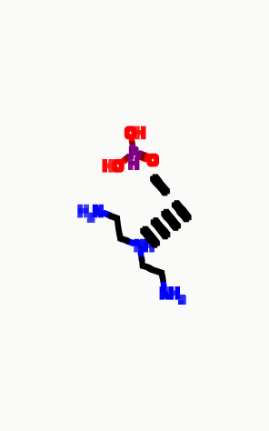 C=C.C=C.C=C.C=C.C=C.NCCNCCN.O=[PH](O)O